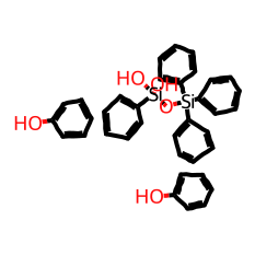 O[Si](O)(O[Si](c1ccccc1)(c1ccccc1)c1ccccc1)c1ccccc1.Oc1ccccc1.Oc1ccccc1